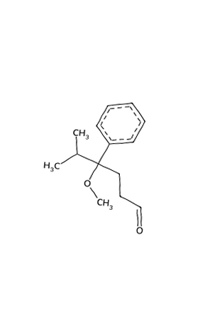 COC(CCC=O)(c1ccccc1)C(C)C